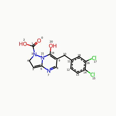 O=C(O)N1CC=C2N=CC(Cc3ccc(Cl)c(Cl)c3)=C(O)N21